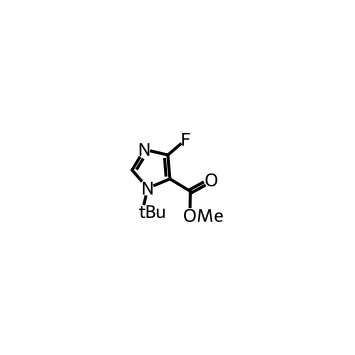 COC(=O)c1c(F)ncn1C(C)(C)C